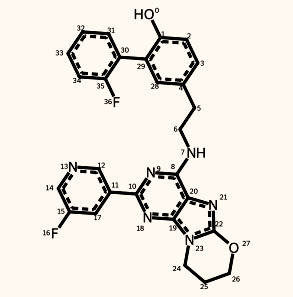 Oc1ccc(CCNc2nc(-c3cncc(F)c3)nc3c2nc2n3CCCO2)cc1-c1ccccc1F